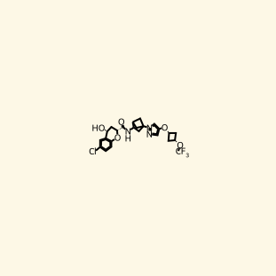 O=C(NC1CC2(n3cc(O[C@H]4C[C@@H](OC(F)(F)F)C4)cn3)CC1C2)[C@H]1C[C@@H](O)c2cc(Cl)ccc2O1